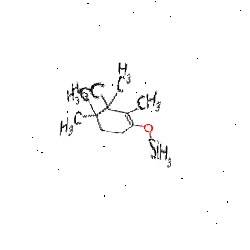 CC1=C(O[SiH3])CCC(C)(C)C1(C)C